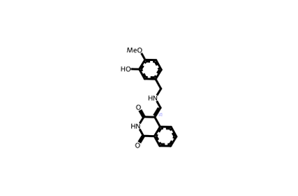 COc1ccc(CN/C=C2\C(=O)NC(=O)c3ccccc32)cc1O